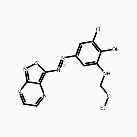 CCOCNc1cc(/N=N/c2snc3nccnc23)cc(Cl)c1O